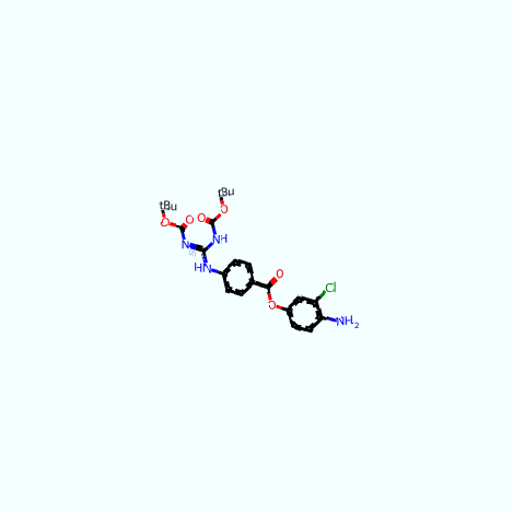 CC(C)(C)OC(=O)/N=C(\NC(=O)OC(C)(C)C)Nc1ccc(C(=O)Oc2ccc(N)c(Cl)c2)cc1